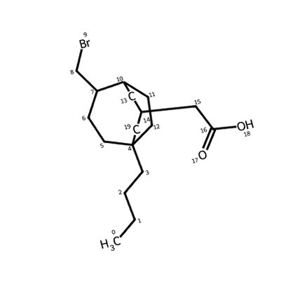 CCCCC12CCC(CBr)C(CC1)CC(CC(=O)O)C2